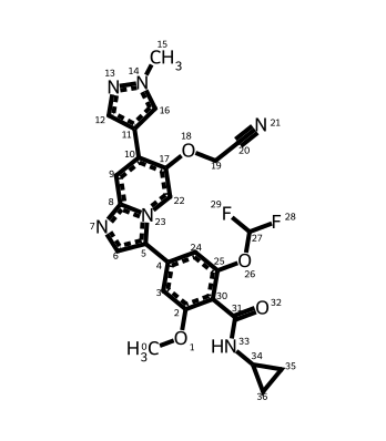 COc1cc(-c2cnc3cc(-c4cnn(C)c4)c(OCC#N)cn23)cc(OC(F)F)c1C(=O)NC1CC1